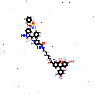 O=C1Nc2ccc(NS(=O)(=O)c3ccccc3)cc2/C1=C(/Nc1ccc(C(=O)NCCCCCCNC(=O)c2ccc(-c3c4cc(F)c(=O)cc-4oc4cc(O)c(F)cc34)c(C(=O)O)c2)cc1)c1ccccc1